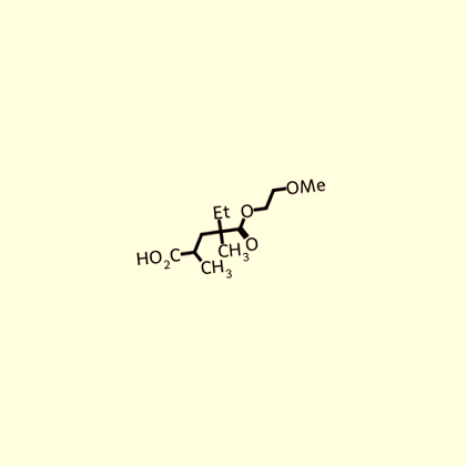 CCC(C)(CC(C)C(=O)O)C(=O)OCCOC